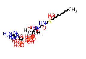 CCCCCCCCCC(O)CC(=O)SCCNC(=O)CCNC(=O)[C@H](O)C(C)(C)COP(=O)(O)OP(=O)(O)OC[C@H]1O[C@@H](n2cnc3c(N)ncnc32)[C@H](O)[C@@H]1OP(=O)(O)O